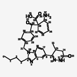 CCCCc1nc2cc(C3=NNC(=O)CC3C)ccc2n1Cc1ccc(C(=O)C2(C(=O)O)C=CC=CC2N)cc1